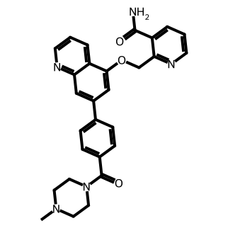 CN1CCN(C(=O)c2ccc(-c3cc(OCc4ncccc4C(N)=O)c4cccnc4c3)cc2)CC1